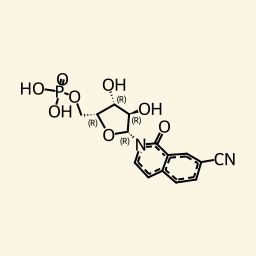 N#Cc1ccc2ccn([C@@H]3O[C@H](COP(=O)(O)O)[C@H](O)[C@H]3O)c(=O)c2c1